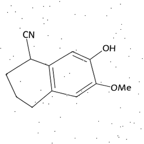 COc1cc2c(cc1O)C(C#N)CCC2